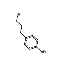 CCCCc1ccc(CCCBr)cc1